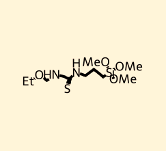 CCOCNC(=S)NCCC[Si](OC)(OC)OC